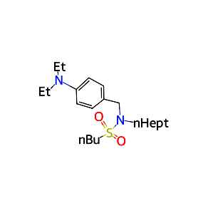 CCCCCCCN(Cc1ccc(N(CC)CC)cc1)S(=O)(=O)CCCC